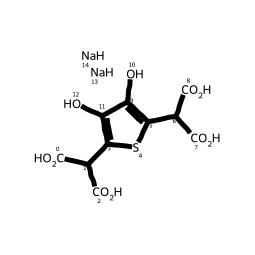 O=C(O)C(C(=O)O)c1sc(C(C(=O)O)C(=O)O)c(O)c1O.[NaH].[NaH]